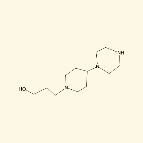 OCCCN1CCC(N2CCNCC2)CC1